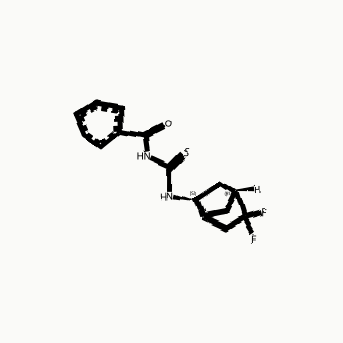 O=C(NC(=S)N[C@H]1C[C@H]2CC1CC2(F)F)c1ccccc1